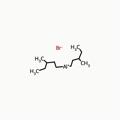 CCC(C)C[CH2][Al+][CH2]CC(C)CC.[Br-]